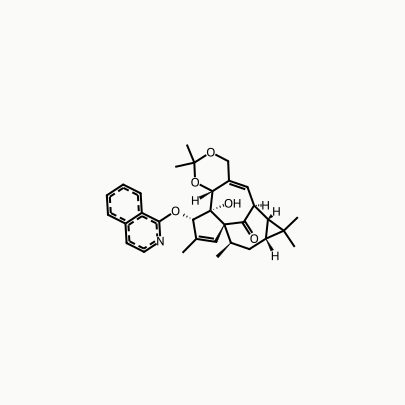 CC1=C[C@]23C(=O)[C@@H](C=C4COC(C)(C)O[C@H]4[C@]2(O)[C@H]1Oc1nccc2ccccc12)[C@H]1[C@@H](C[C@H]3C)C1(C)C